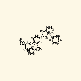 CCOc1cc(-c2ccc(N3C[C@@H](N)[C@H](Oc4ccccn4)C3)nc2)c2c(C#N)cnn2c1